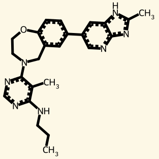 CCCNc1ncnc(N2CCOc3ccc(-c4cnc5nc(C)[nH]c5c4)cc3C2)c1C